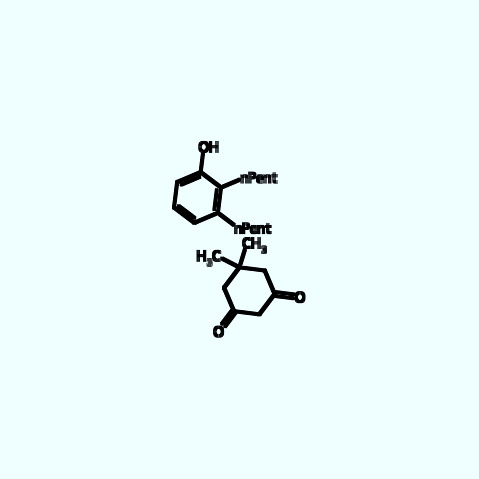 CC1(C)CC(=O)CC(=O)C1.CCCCCc1cccc(O)c1CCCCC